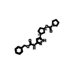 O=C(Nc1cc([C@H]2CC[C@@H](OC(=O)N3CCCC3)C2)[nH]n1)OCc1ccccc1